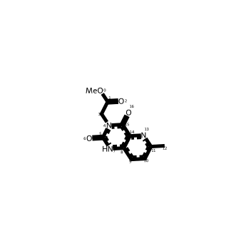 COC(=O)Cn1c(=O)[nH]c2ccc(C)nc2c1=O